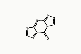 O=c1c2c(nc3nccn13)N=CN=2